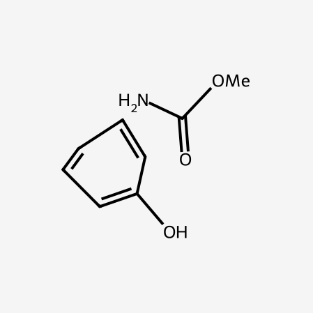 COC(N)=O.Oc1ccccc1